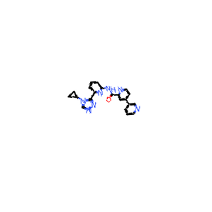 O=C(Nc1cccc(-c2nncn2C2CC2)n1)c1cc(-c2cccnc2)ccn1